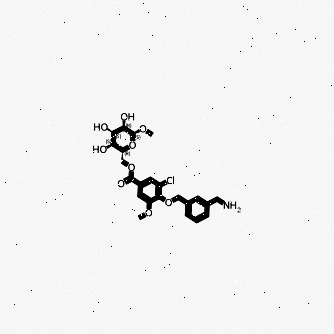 COc1cc(C(=O)OC[C@H]2O[C@H](OC)[C@H](O)[C@@H](O)[C@@H]2O)cc(Cl)c1OCc1cccc(CN)c1